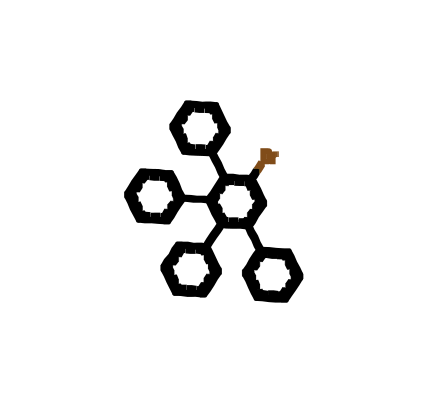 Brc1cc(-c2ccccc2)c(-c2ccccc2)c(-c2ccccc2)c1-c1ccccc1